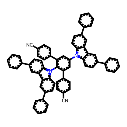 N#Cc1ccc(-c2cc(-n3c4ccc(-c5ccccc5)cc4c4cc(-c5ccccc5)ccc43)cc(-c3ccc(C#N)cc3)c2-n2c3ccc(-c4ccccc4)cc3c3cc(-c4ccccc4)ccc32)cc1